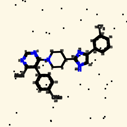 CNc1ncnc(N2CCC(c3nc(-c4cccc(C(F)(F)F)c4)c[nH]3)CC2)c1-c1ccc(OC)cc1